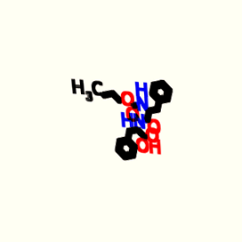 CCCCOC(=O)NC(Cc1ccccc1)C(=O)NC(Cc1ccccc1)C(=O)O